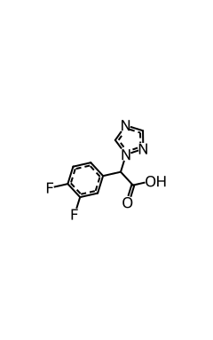 O=C(O)C(c1ccc(F)c(F)c1)n1cncn1